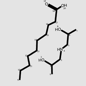 CC(O)CNCC(C)O.CCCCCCCCCC(=O)O